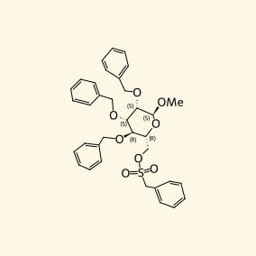 CO[C@H]1O[C@H](COS(=O)(=O)Cc2ccccc2)[C@@H](OCc2ccccc2)[C@H](OCc2ccccc2)[C@@H]1OCc1ccccc1